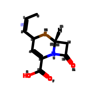 C/C=C\C1C=C(C(=O)O)N2C(=O)C[C@H]2S1